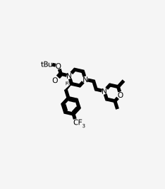 CC1CN(CCN2CCN(C(=O)OC(C)(C)C)[C@H](Cc3ccc(C(F)(F)F)cc3)C2)CC(C)O1